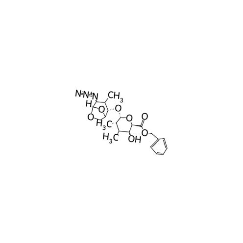 CC1[C@H](C)[C@H](O[C@@H]2C3CO[C@H](O3)[C@@H](N=[N+]=[N-])C2C)O[C@@H](C(=O)OCc2ccccc2)[C@H]1O